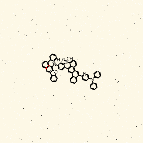 C[Si]1(C)c2cc(N(c3ccccc3-c3ccccc3)c3cccc4c3oc3ccccc34)ccc2-c2cc3c4ccccc4c(-c4ccc(N(c5ccccc5)c5ccccc5)cn4)cc3c3cccc1c23